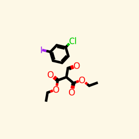 CCOC(=O)C(C=O)C(=O)OCC.Clc1cccc(I)c1